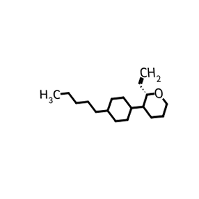 C=C[C@@H]1OCCCC1C1CCC(CCCCC)CC1